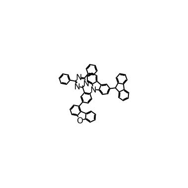 c1ccc(-c2nc(-c3ccccc3)nc(-c3cc(-c4cccc5oc6ccccc6c45)ccc3-n3c4ccccc4c4cc(C5c6ccccc6-c6ccccc65)ccc43)n2)cc1